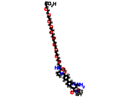 CCCN(OCC)C(=O)C1=Cc2ccc(-c3ccc(C(=O)N4CCC[C@@H]4C(=O)NCCOCCOCCOCCOCCOCCOCCOCCOCCOCCOCCC(=O)O)cc3)cc2N=C(N)C1